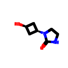 O=C1NCCN1[C@H]1C[C@H](O)C1